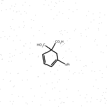 CCCC1=CC=CC(C(=O)O)(C(=O)O)C1